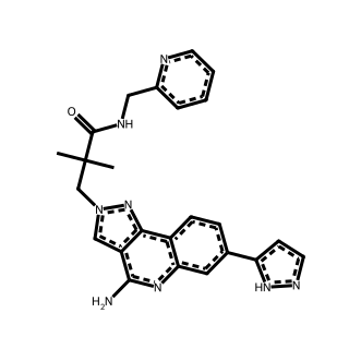 CC(C)(Cn1cc2c(N)nc3cc(-c4ccn[nH]4)ccc3c2n1)C(=O)NCc1ccccn1